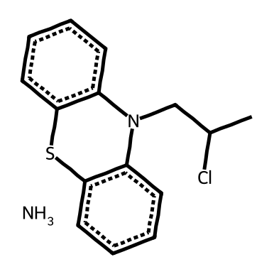 CC(Cl)CN1c2ccccc2Sc2ccccc21.N